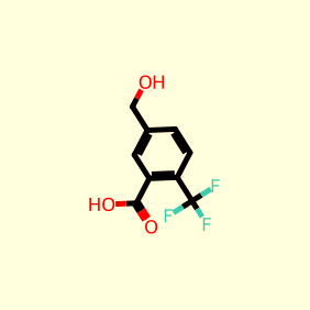 O=C(O)c1cc(CO)ccc1C(F)(F)F